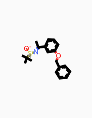 CC(=N[S@+]([O-])C(C)(C)C)c1cccc(OCc2ccccc2)c1